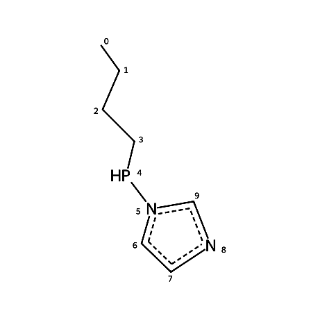 CCCCPn1ccnc1